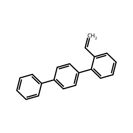 C=Cc1ccccc1-c1ccc(-c2ccccc2)cc1